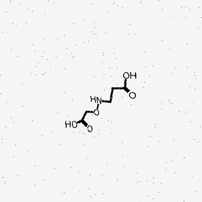 O=C(O)CCNOCC(=O)O